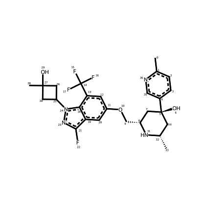 Cc1ccc([C@@]2(O)C[C@@H](COc3cc(C(F)(F)F)c4c(c3)c(F)nn4C3CC(C)(O)C3)N[C@@H](C)C2)cn1